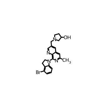 Cc1cc2cc(CN3CCC(O)C3)cnc2c(N2CCc3c(Br)cccc32)n1